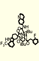 CCC(C)[C@H](NC(=O)Cc1ccccc1F)C(=O)N[C@]1(C(=O)N[C@@H](C(=O)Nc2ccc3ncccc3c2)C(C)CC)CCc2[nH]c3c(C(F)(F)F)cccc3c2C1